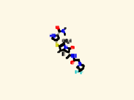 CC(NC(=O)CN1CCC(F)(F)C1)[C@H]1C(=O)N2C(C(=O)O)=C(S[C@@H]3CN[C@H](C(=O)N(C)C)C3)[C@H](C)[C@H]12